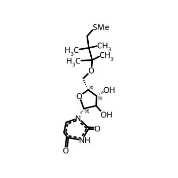 CSCC(C)(C)C(C)(C)OC[C@H]1O[C@@H](n2ccc(=O)[nH]c2=O)C(O)[C@H]1O